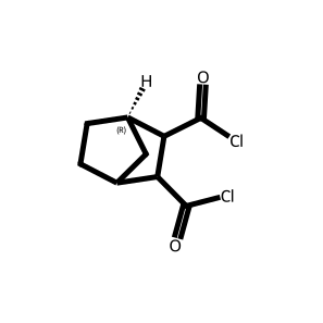 O=C(Cl)C1C2CC[C@H](C2)C1C(=O)Cl